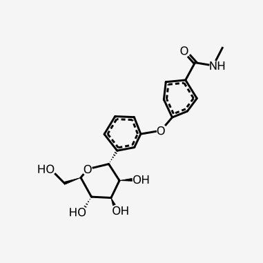 CNC(=O)c1ccc(Oc2cccc([C@H]3O[C@H](CO)[C@@H](O)[C@H](O)[C@@H]3O)c2)cc1